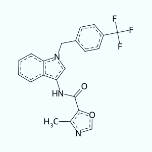 Cc1ncoc1C(=O)Nc1cn(Cc2ccc(C(F)(F)F)cc2)c2ccccc12